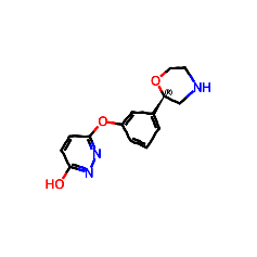 Oc1ccc(Oc2cccc([C@@H]3CNCCO3)c2)nn1